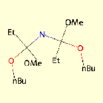 CCCCOC(CC)([N]C(CC)(OC)OCCCC)OC